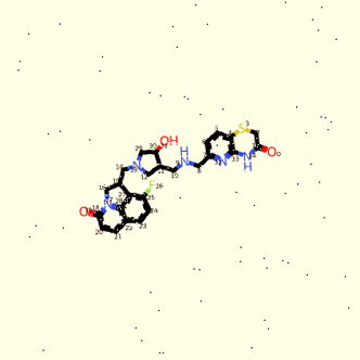 O=C1CSc2ccc(CNCC3CN(CC4Cn5c(=O)ccc6ccc(F)c4c65)CC3O)nc2N1